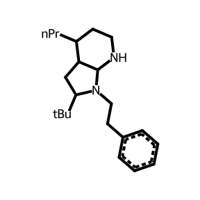 CCCC1CCNC2C1CC(C(C)(C)C)N2CCc1ccccc1